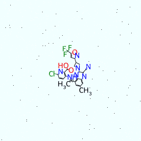 Cc1cc([C@@H](C)Nc2ccc(Cl)nc2C(=O)O)c2nc(N3CC(c4cc(C(F)(F)F)on4)C3)c(C#N)nc2c1